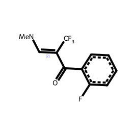 CN/C=C(/C(=O)c1ccccc1F)C(F)(F)F